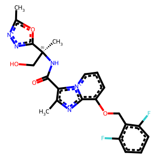 Cc1nnc([C@](C)(CO)NC(=O)c2c(C)nc3c(OCc4c(F)cccc4F)cccn23)o1